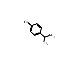 CC(C)c1ccc(C(C)N)cc1